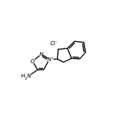 Nc1c[n+](C2Cc3ccccc3C2)no1.[Cl-]